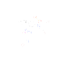 CN(CCCN1CCOCC1)/[N+]([O-])=C\c1cc(N(CCBr)CCBr)c(S(C)(=O)=O)cc1[N+](=O)[O-]